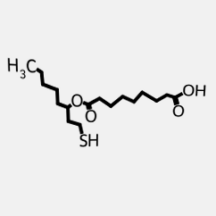 CCCCCC(CCS)OC(=O)CCCCCCCC(=O)O